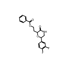 O=C(OCCC1OC(c2ccc(F)c(F)c2)CNC1=O)c1ccccc1